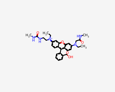 CCN(CC(=O)NC)c1ccc2c(-c3ccccc3C(=O)O)c3cc/c(=[N+](/CC)CCNC(=O)NC)cc-3oc2c1